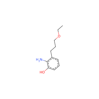 CCOCCCc1cccc(O)c1N